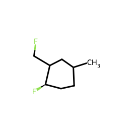 CC1CC[C@@H](F)C(CF)C1